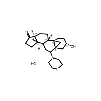 C[C@]12CC[C@H]3[C@@H](CC(N4CCOCC4)[C@]45C[C@@H](O)CC[C@]34C5)[C@@H]1CCC2=O.Cl